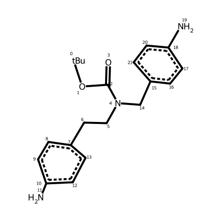 CC(C)(C)OC(=O)N(CCc1ccc(N)cc1)Cc1ccc(N)cc1